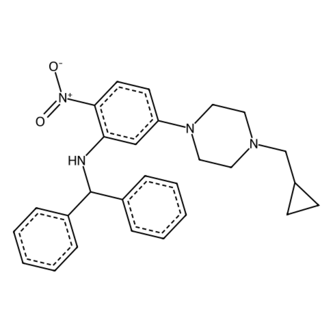 O=[N+]([O-])c1ccc(N2CCN(CC3CC3)CC2)cc1NC(c1ccccc1)c1ccccc1